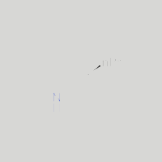 CCC[C@]1(C)CCCCNC1